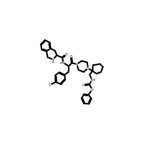 O=C(NCC1(N2CCN(C(=O)C(Cc3ccc(Cl)cc3)NC(=O)C3Cc4ccccc4CN3)CC2)CCCCC1)Oc1ccccc1